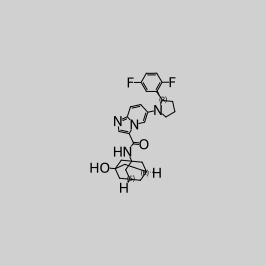 O=C(NC12C[C@@H]3C[C@@H](CC(O)(C3)C1)C2)c1cnc2ccc(N3CCC[C@@H]3c3cc(F)ccc3F)cn12